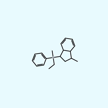 CC[Si](C)(c1ccccc1)C1CC(C)C2C=CC=CC21